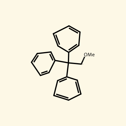 CO[CH]C(c1ccccc1)(c1ccccc1)c1ccccc1